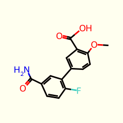 COc1ccc(-c2cc(C(N)=O)ccc2F)cc1C(=O)O